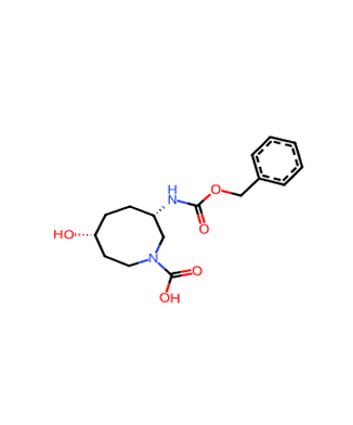 O=C(N[C@H]1CC[C@@H](O)CCN(C(=O)O)C1)OCc1ccccc1